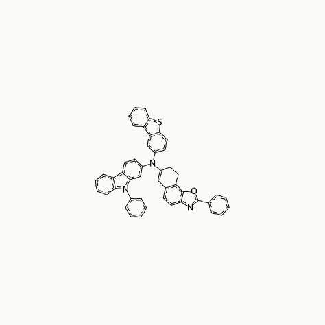 C1=C(N(c2ccc3sc4ccccc4c3c2)c2ccc3c4ccccc4n(-c4ccccc4)c3c2)CCc2c1ccc1nc(-c3ccccc3)oc21